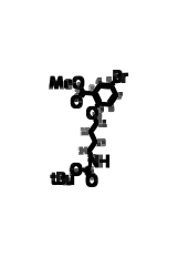 COC(=O)c1cc(Br)ccc1OCCCCNC(=O)OC(C)(C)C